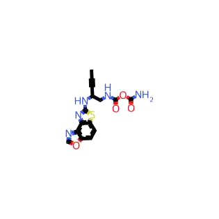 CC#CC(CNC(=O)OC(N)=O)Nc1nc2c(ccc3ocnc32)s1